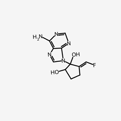 Nc1ncnc2c1ncn2C1(O)/C(=C/F)CCC1O